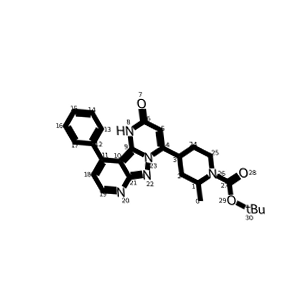 CC1CC(c2cc(=O)[nH]c3c4c(-c5ccccc5)ccnc4nn23)CCN1C(=O)OC(C)(C)C